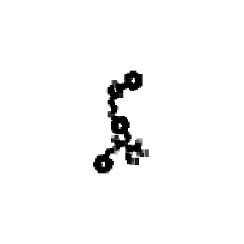 O=C(O)[C@H](CO)N(Cc1ccc(OCCc2coc(-c3ccccc3)n2)cc1)C(=O)OCc1ccccc1